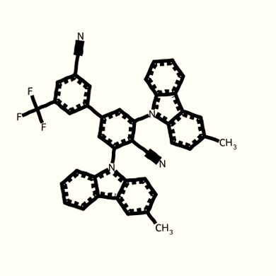 Cc1ccc2c(c1)c1ccccc1n2-c1cc(-c2cc(C#N)cc(C(F)(F)F)c2)cc(-n2c3ccccc3c3cc(C)ccc32)c1C#N